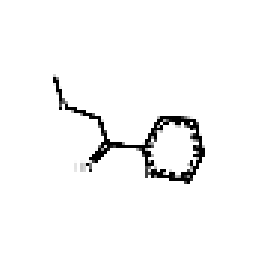 COCC(=N)c1ccccn1